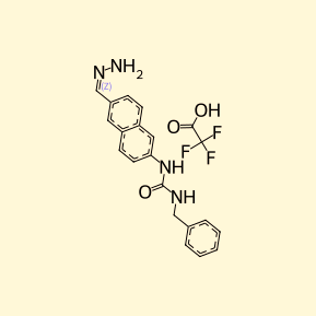 N/N=C\c1ccc2cc(NC(=O)NCc3ccccc3)ccc2c1.O=C(O)C(F)(F)F